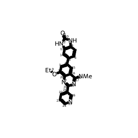 CCOc1cc(-c2ccc3[nH]c(=O)[nH]c3c2)cc2c(NC)nc(-c3cccnc3)nc12